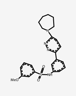 COc1cccc(S(=O)(=O)Nc2cccc(-c3ccc(N4CCCCCC4)nn3)c2)c1